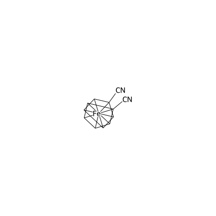 N#C[C]12[CH]3[CH]4[CH]5[CH]1[Fe]45321678[CH]2[CH]1[CH]6[C]7(C#N)[CH]28